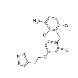 Nc1ccc(Cl)c(Cn2ccc(OCCc3cccs3)cc2=O)c1Cl